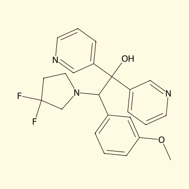 COc1cccc(C(N2CCC(F)(F)C2)C(O)(c2cccnc2)c2cccnc2)c1